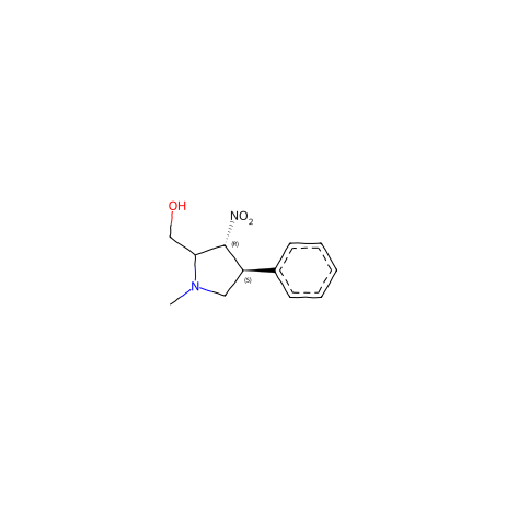 CN1C[C@H](c2ccccc2)[C@@H]([N+](=O)[O-])C1CO